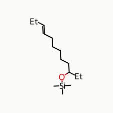 CCC=CCCCCCC(CC)O[Si](C)(C)C